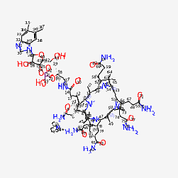 C/C1=C2/[N-][C@H]([C@H](CC(N)=O)[C@@]2(C)CCC(=O)NC[C@@H](C)OP(=O)(O)O[C@H]2[C@@H](O)[C@@H](n3cnc4cc(C)c(C)cc43)O[C@@H]2CO)[C@]2(C)N=C(/C(C)=C3N=C(/C=C4N=C1[C@@H](CCC(N)=O)C\4(C)C)[C@@H](CCC(N)=O)[C@]\3(C)CC(N)=O)[C@@H](CCC(N)=O)[C@]2(C)CC(N)=O.[C-]#N.[Co+2]